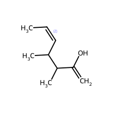 C=C(O)C(C)C(C)/C=C\C